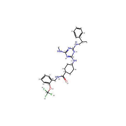 CNc1nc(NCC(C)c2ccccc2)nc(NC2CCC(C(=O)NCc3ccccc3OC(F)(F)F)CC2)n1